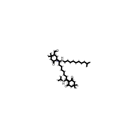 CC(C)CCCCCCCCN/C(CCCCCCC(NC(C)C)=C1C(=O)CC(C)(C)CC1=O)=C1\CC(C=O)C(C)(C)CC1=O